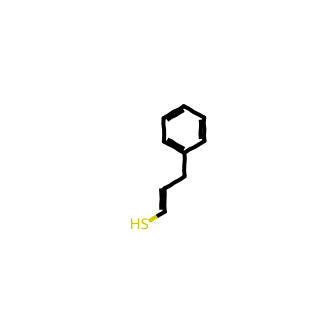 S/C=C/Cc1ccccc1